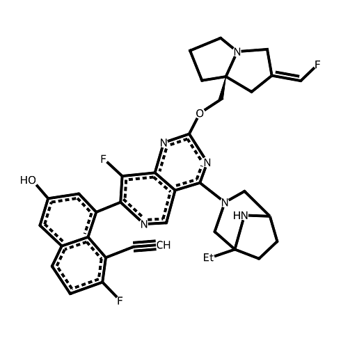 C#Cc1c(F)ccc2cc(O)cc(-c3ncc4c(N5CC6CCC(CC)(C5)N6)nc(OC[C@@]56CCCN5C/C(=C\F)C6)nc4c3F)c12